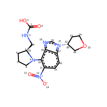 O=C(O)NC[C@@H]1CCCN1c1c([N+](=O)[O-])ccc2c1ncn2[C@@H]1CCOC1